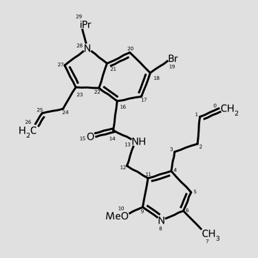 C=CCCc1cc(C)nc(OC)c1CNC(=O)c1cc(Br)cc2c1c(CC=C)cn2C(C)C